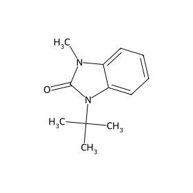 Cn1c(=O)n(C(C)(C)C)c2ccccc21